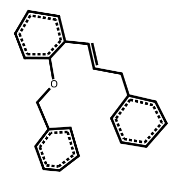 C(=Cc1ccccc1OCc1ccccc1)Cc1ccccc1